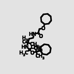 CC(C)(CCNC(=O)COC1CCCCCCC1)NC(C)(C)OC(C)(C)C1CCCCCCC1